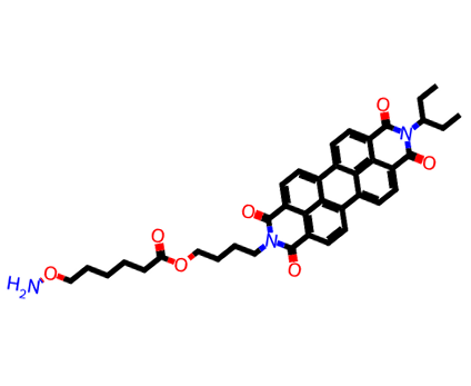 CCC(CC)N1C(=O)c2ccc3c4ccc5c6c(ccc(c7ccc(c2c37)C1=O)c64)C(=O)N(CCCCOC(=O)CCCCCON)C5=O